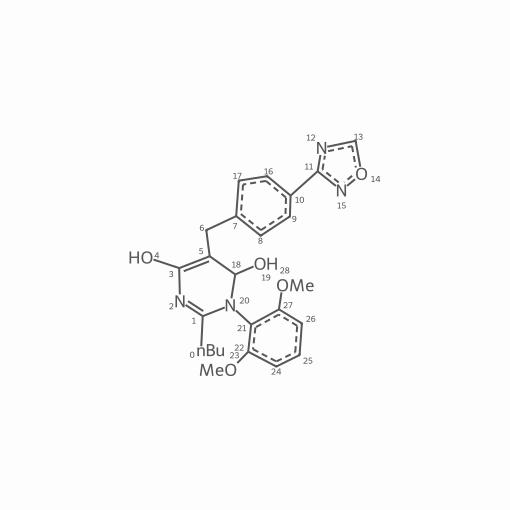 CCCCC1=NC(O)=C(Cc2ccc(-c3ncon3)cc2)C(O)N1c1c(OC)cccc1OC